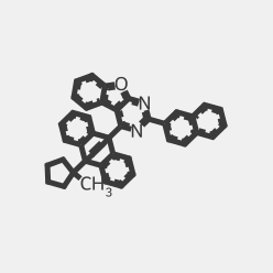 CC1(C23C=CC(c4nc(-c5ccc6ccccc6c5)nc5oc6ccccc6c45)(c4ccccc42)c2ccccc23)CCCC1